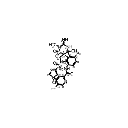 CN1C(=N)N[C@](C)(c2cc(NC(=O)c3ccc(F)cn3)ccc2F)[C@@]2(CCN(S(=O)(=O)c3cn(C)cn3)C2)S1(=O)=O